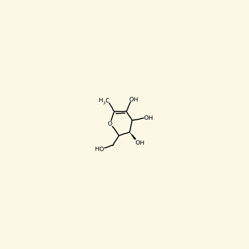 CC1=C(O)C(O)[C@@H](O)C(CO)O1